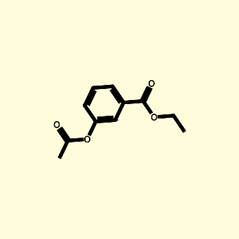 CCOC(=O)c1[c]c(OC(C)=O)ccc1